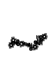 O=C(Nc1ccccc1-c1ccccc1)OC1CCN(CCNCCC(=O)c2cccc(C(=O)NCCNCc3ccccc3O)c2)CC1